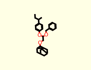 CCC(C)c1ccc(OC(COC2C3CC4CC(C3)CC2C4)OCc2ccccc2)cc1